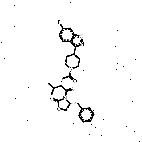 CC(C)[C@H](CC(=O)N1CCC(c2noc3cc(F)ccc23)CC1)C(=O)N1C(=O)OC[C@H]1Cc1ccccc1